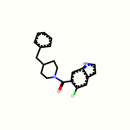 O=C(c1cc2[nH]ccc2cc1Cl)N1CCC(Cc2ccccc2)CC1